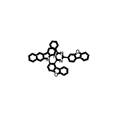 c1ccc(-c2nc(-c3ccc4c(c3)oc3ccccc34)nc(-c3c(-n4c5ccccc5c5cc6ccccc6cc54)ccc4oc5ccccc5c34)n2)cc1